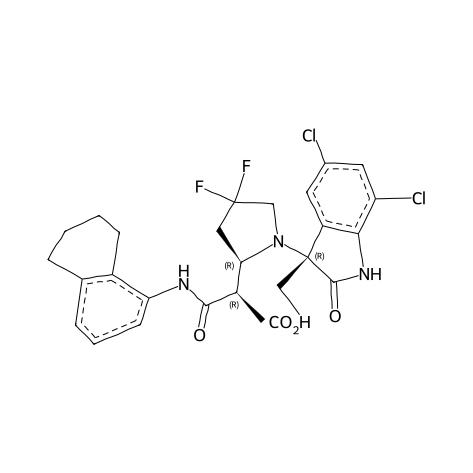 C[C@@H](C(=O)Nc1cccc2c1CCCC2)[C@H]1CC(F)(F)CN1[C@@]1(CC(=O)O)C(=O)Nc2c(Cl)cc(Cl)cc21